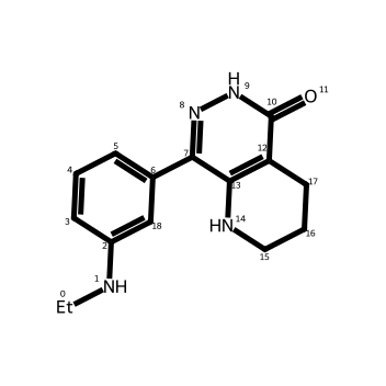 CCNc1cccc(-c2n[nH]c(=O)c3c2NCCC3)c1